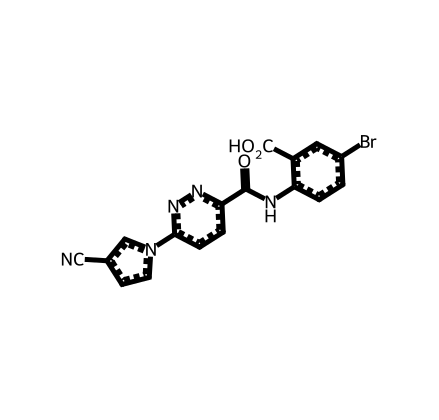 N#Cc1ccn(-c2ccc(C(=O)Nc3ccc(Br)cc3C(=O)O)nn2)c1